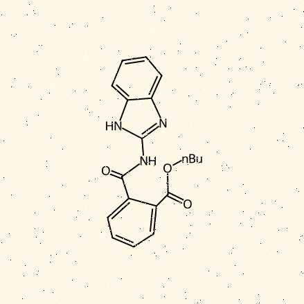 CCCCOC(=O)c1ccccc1C(=O)Nc1nc2ccccc2[nH]1